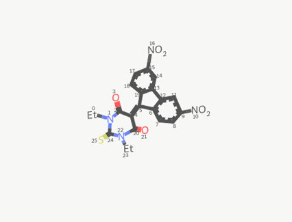 CCN1C(=O)C(=C2c3ccc([N+](=O)[O-])cc3-c3cc([N+](=O)[O-])ccc32)C(=O)N(CC)C1=S